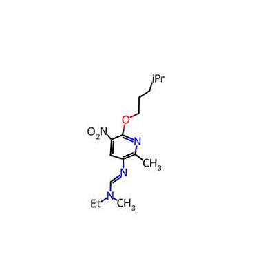 CCN(C)/C=N/c1cc([N+](=O)[O-])c(OCCCC(C)C)nc1C